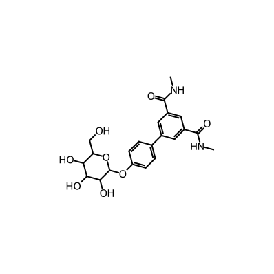 CNC(=O)c1cc(C(=O)NC)cc(-c2ccc(OC3OC(CO)C(O)C(O)C3O)cc2)c1